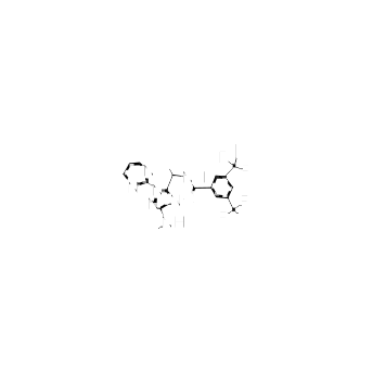 CNc1nc(C(C)NC(=O)c2cc(C(F)(F)F)cc(C(F)(F)F)c2)n(-c2ncccn2)n1